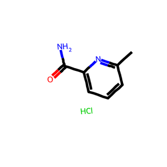 Cc1cccc(C(N)=O)n1.Cl